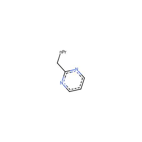 CCCCc1ncccn1